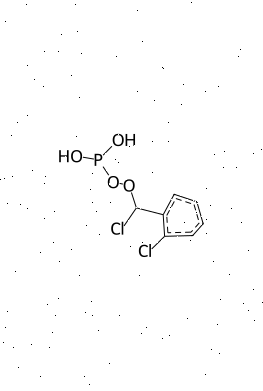 OP(O)OOC(Cl)c1ccccc1Cl